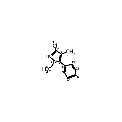 Cc1c(Cl)nn(C)c1-c1ccccc1